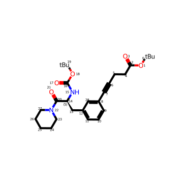 CC(C)(C)OC(=O)CCC#Cc1cccc(C[C@H](NC(=O)OC(C)(C)C)C(=O)N2CCCCC2)c1